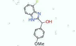 COc1ccc(C(O)c2nc3c(F)cccc3[nH]2)cc1